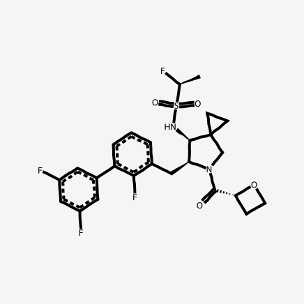 C[C@H](F)S(=O)(=O)N[C@@H]1[C@H](Cc2cccc(-c3cc(F)cc(F)c3)c2F)N(C(=O)[C@H]2CCO2)CC12CC2